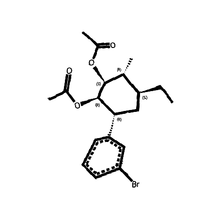 CC[C@H]1C[C@H](c2cccc(Br)c2)[C@@H](OC(C)=O)[C@@H](OC(C)=O)[C@@H]1C